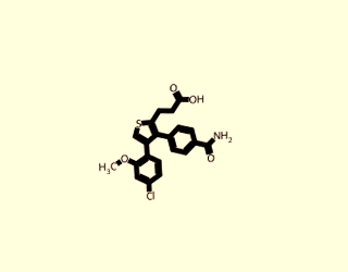 COc1cc(Cl)ccc1-c1csc(CCC(=O)O)c1-c1ccc(C(N)=O)cc1